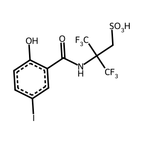 O=C(NC(CS(=O)(=O)O)(C(F)(F)F)C(F)(F)F)c1cc(I)ccc1O